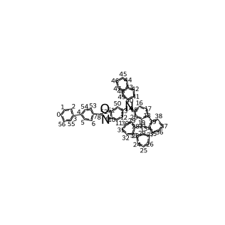 c1ccc(-c2ccc(-c3nc4ccc(N(c5ccc6c(c5)C(c5ccccc5)(c5ccccc5)c5ccccc5-6)c5ccc6ccccc6c5)cc4o3)cc2)cc1